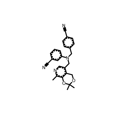 Cc1ncc(CN(Cc2ccc(C#N)cc2)c2cccc(C#N)c2)c2c1OC(C)(C)OC2